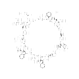 CCCC[C@H]1C(=O)N(C)[C@@H](CCCC)C(=O)N[C@@H](CCCNC(=N)N)C(=O)N[C@H](C(=O)NCC(N)=O)CSCC(=O)N[C@@H](Cc2ccc(O)cc2)C(=O)N(C)[C@@H](C)C(=O)N[C@@H](CC(N)=O)C(=O)N2CCC[C@H]2C(=O)N[C@@H](Cc2cnc[nH]2)C(=O)N[C@@H](CCC(C)=O)C(=O)N2CCC[C@H]2C(=O)N[C@@H](Cc2c[nH]c3ccccc23)C(=O)N[C@@H](CO)C(=O)N[C@@H](Cc2c[nH]c3ccccc23)C(=O)N1C